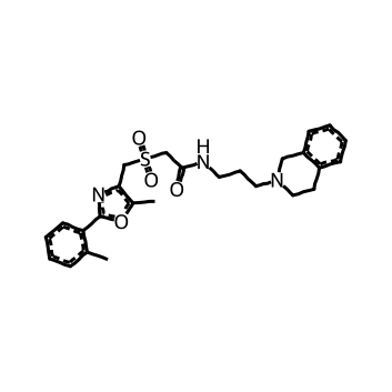 Cc1ccccc1-c1nc(CS(=O)(=O)CC(=O)NCCCN2CCc3ccccc3C2)c(C)o1